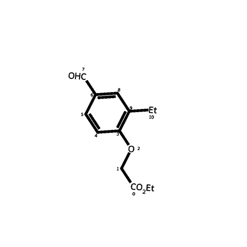 CCOC(=O)COc1ccc(C=O)cc1CC